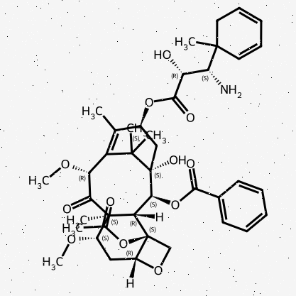 CO[C@H]1C(=O)[C@]2(C)[C@@H](OC)C[C@H]3OC[C@@]3(OC(C)=O)[C@H]2[C@H](OC(=O)c2ccccc2)[C@]2(O)C[C@H](OC(=O)[C@H](O)[C@@H](N)C3(C)C=CC=CC3)C(C)=C1C2(C)C